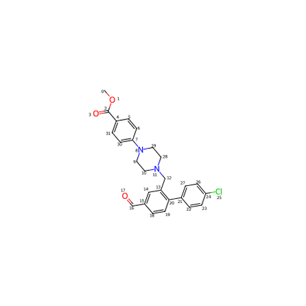 COC(=O)c1ccc(N2CCN(Cc3cc(C=O)ccc3-c3ccc(Cl)cc3)CC2)cc1